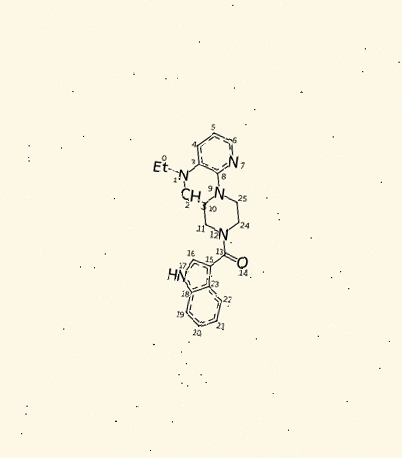 CCN(C)c1cccnc1N1CCN(C(=O)c2c[nH]c3ccccc23)CC1